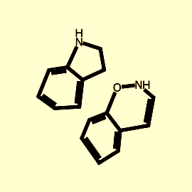 C1=Cc2ccccc2ON1.c1ccc2c(c1)CCN2